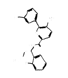 COc1ccc(C(=O)N[C@@H](CC(=O)O)c2ccccc2F)nc1-c1cccc(C(C)=O)c1